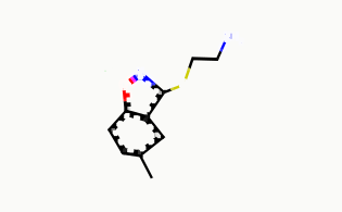 Cc1ccc2onc(SCCN)c2c1.Cl